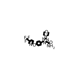 NC(=O)c1nc(-c2ccc(Oc3ccc(C(F)(F)F)cn3)cc2)nc(N2CCOCC2)n1